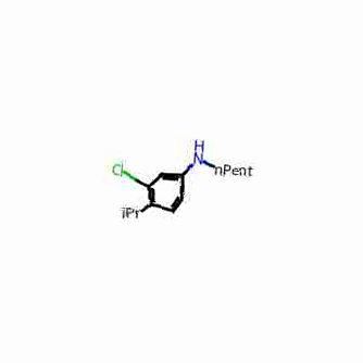 CCCCCNc1ccc(C(C)C)c(Cl)c1